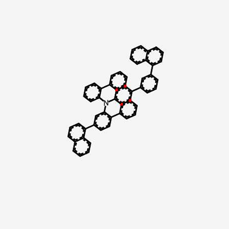 c1ccc(-c2ccccc2N(c2ccc(-c3cccc(-c4cccc5ccccc45)c3)cc2)c2cc(-c3cccc4ccccc34)ccc2-c2ccccc2)cc1